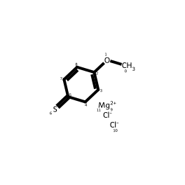 COC1=CCC(=S)C=C1.[Cl-].[Cl-].[Mg+2]